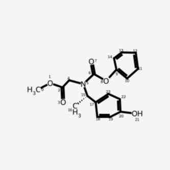 COC(=O)CN(C(=O)Oc1ccccc1)[C@@H](C)c1ccc(O)cc1